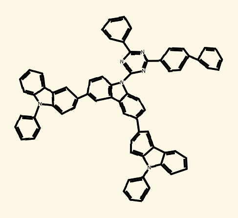 c1ccc(-c2ccc(-c3nc(-c4ccccc4)nc(-n4c5ccc(-c6ccc7c(c6)c6ccccc6n7-c6ccccc6)cc5c5cc(-c6ccc7c(c6)c6ccccc6n7-c6ccccc6)ccc54)n3)cc2)cc1